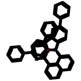 c1ccc(-c2ccc3c(c2)c2ccccc2n3-c2cccc3cccc(-c4nc(-c5ccccc5)nc(-c5ccccc5)n4)c23)cc1